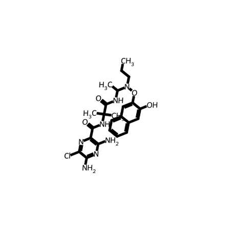 CCCN(Oc1cc2ccccc2cc1O)C(C)NC(=O)C(C)(C)NC(=O)c1nc(Cl)c(N)nc1N